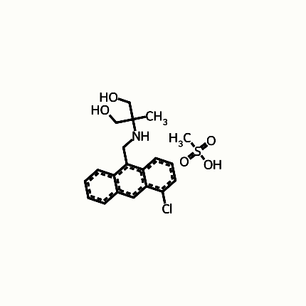 CC(CO)(CO)NCc1c2ccccc2cc2c(Cl)cccc12.CS(=O)(=O)O